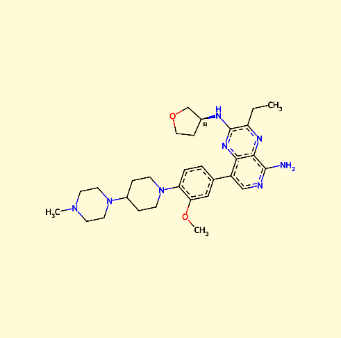 CCc1nc2c(N)ncc(-c3ccc(N4CCC(N5CCN(C)CC5)CC4)c(OC)c3)c2nc1N[C@H]1CCOC1